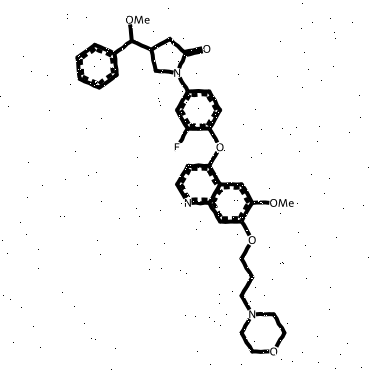 COc1cc2c(Oc3ccc(N4CC(C(OC)c5ccccc5)CC4=O)cc3F)ccnc2cc1OCCCN1CCOCC1